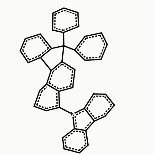 c1ccc(C2(c3ccccc3)c3ccccc3-c3c2ccc2c(-n4c5ccccc5c5ccccc54)cccc32)cc1